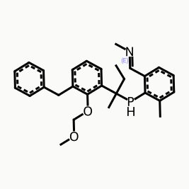 CCC(C)(Pc1c(C)cccc1/C=N/C)c1cccc(Cc2ccccc2)c1OCOC